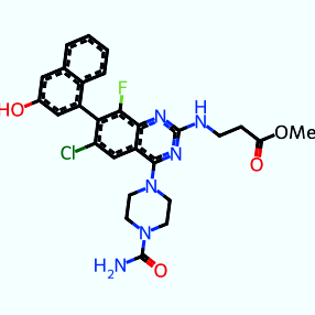 COC(=O)CCNc1nc(N2CCN(C(N)=O)CC2)c2cc(Cl)c(-c3cc(O)cc4ccccc34)c(F)c2n1